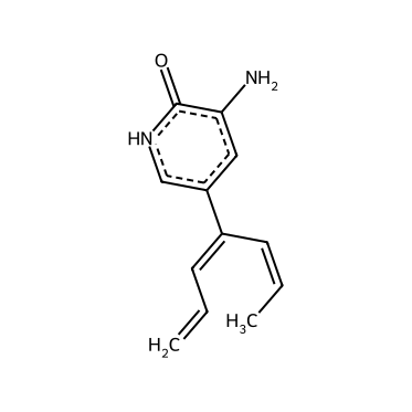 C=C/C=C(\C=C/C)c1c[nH]c(=O)c(N)c1